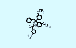 C[C@H]1CCN(C(=O)NCC(Cc2ccccc2)(c2cccc(OC(F)(F)F)c2)c2cccc(OC(F)(F)F)c2)C1